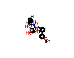 COc1c(CN2O[C@@H](CO)[C@H]([C@H](C)O)C2C(=O)N[C@H]2C[C@H]3C[C@@H]([C@@H]2C)C3(C)C)cccc1-c1cccc(OC(C)C)c1